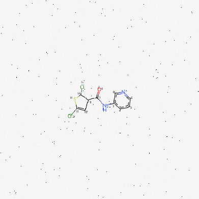 O=C(Nc1cccnc1)C1C=C(Cl)SC1Cl